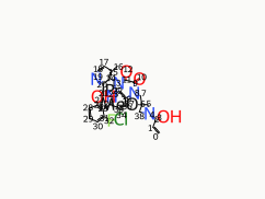 C=CC(O)N1CC(Cn2c(=O)c(=O)n(-c3c(C)ccnc3C(C)C)c3nc(-c4c(O)cccc4F)c(Cl)cc32)(OC)C1